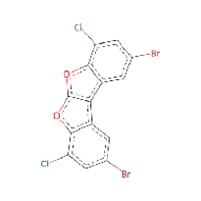 Clc1cc(Br)cc2c1oc1oc3c(Cl)cc(Br)cc3c12